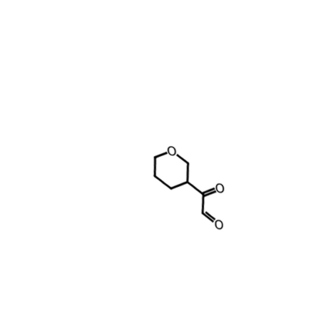 O=CC(=O)C1CCCOC1